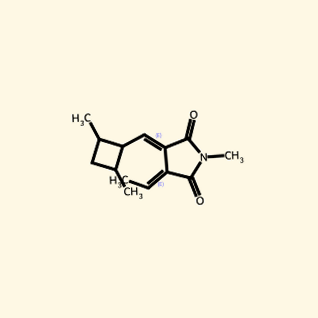 C/C=C1/C(=O)N(C)C(=O)/C1=C/C1C(C)CC1C